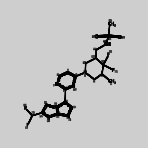 CC1CN(c2ccnc(-c3cnc4sc(C(F)F)cn34)n2)CC(CNS(C)(=O)=O)C1(F)F